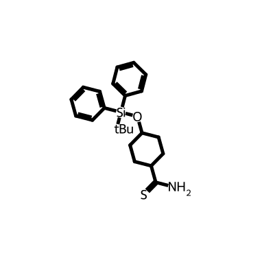 CC(C)(C)[Si](OC1CCC(C(N)=S)CC1)(c1ccccc1)c1ccccc1